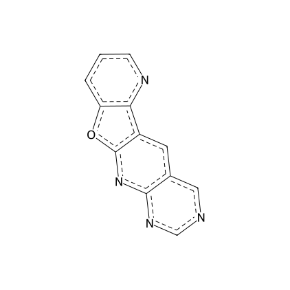 c1cnc2c(c1)oc1nc3ncncc3cc12